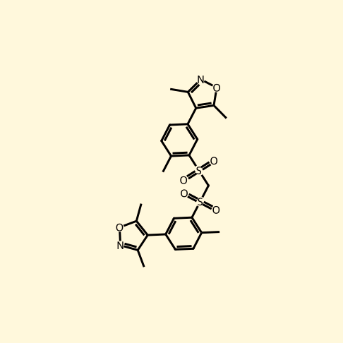 Cc1ccc(-c2c(C)noc2C)cc1S(=O)(=O)CS(=O)(=O)c1cc(-c2c(C)noc2C)ccc1C